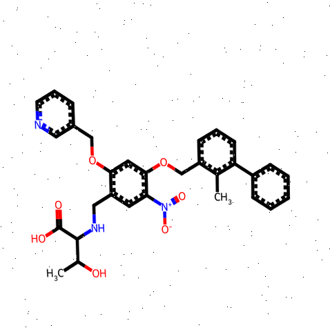 Cc1c(COc2cc(OCc3cccnc3)c(CNC(C(=O)O)C(C)O)cc2[N+](=O)[O-])cccc1-c1ccccc1